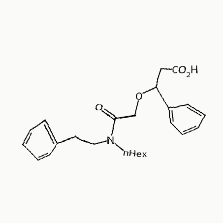 CCCCCCN(CCc1ccccc1)C(=O)COC(CC(=O)O)c1ccccc1